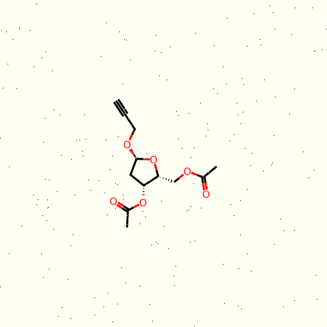 C#CCO[C@@H]1C[C@@H](OC(C)=O)[C@@H](COC(C)=O)O1